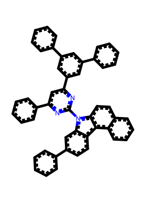 c1ccc(-c2cc(-c3ccccc3)cc(-c3cc(-c4ccccc4)nc(-n4c5cc(-c6ccccc6)ccc5c5c6ccccc6ccc54)n3)c2)cc1